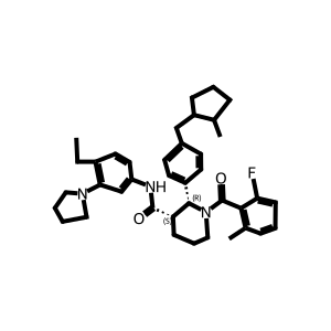 CCc1ccc(NC(=O)[C@H]2CCCN(C(=O)c3c(C)cccc3F)[C@H]2c2ccc(CC3CCCC3C)cc2)cc1N1CCCC1